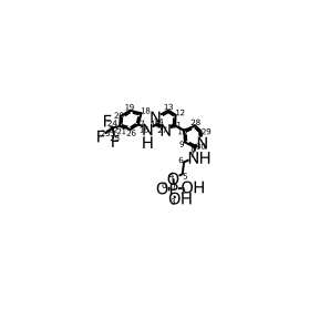 O=P(O)(O)OCCNc1cc(-c2ccnc(Nc3cccc(C(F)(F)F)c3)n2)ccn1